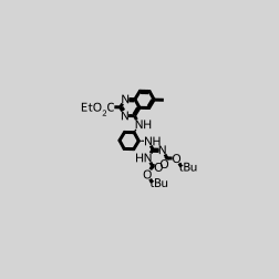 CCOC(=O)c1nc(N[C@H]2CCCC[C@H]2N/C(=N/C(=O)OC(C)(C)C)NC(=O)OC(C)(C)C)c2cc(C)ccc2n1